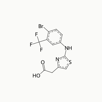 O=C(O)Cc1csc(Nc2ccc(Br)c(C(F)(F)F)c2)n1